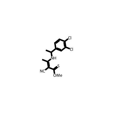 COC(=S)C(C#N)=C(C)NC(C)c1ccc(Cl)c(Cl)c1